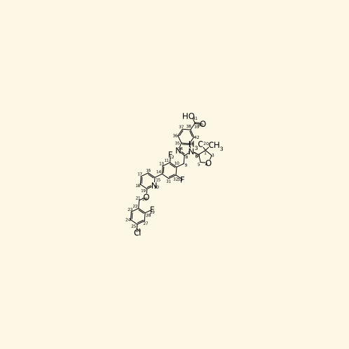 CC1(C)COC[C@H]1n1c(Cc2c(F)cc(-c3cccc(OCc4ccc(Cl)cc4F)n3)cc2F)nc2ccc(C(=O)O)cc21